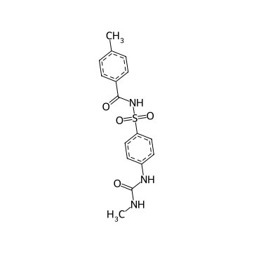 CNC(=O)Nc1ccc(S(=O)(=O)NC(=O)c2ccc(C)cc2)cc1